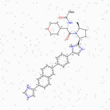 COC(=O)N[C@H](C(=O)N1[C@@H](C)CC[C@H]1c1ncc(-c2ccc(-c3ccc4cc(-c5cnc[nH]5)ccc4c3)cc2)[nH]1)C1CCOCC1